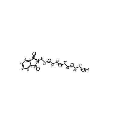 O=C1c2ccccc2C(=O)N1CCOCCOCCOCCO